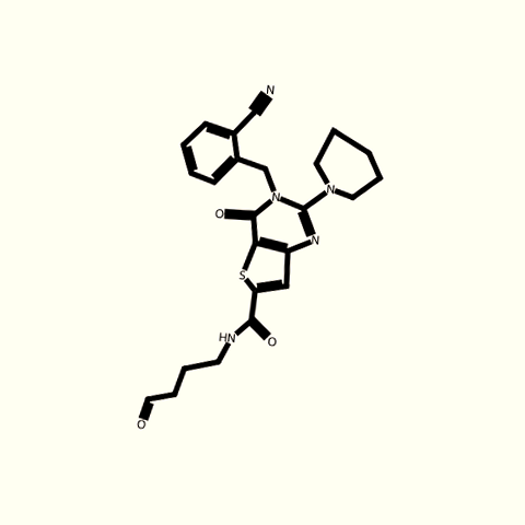 N#Cc1ccccc1Cn1c(N2CCCCC2)nc2cc(C(=O)NCCCC=O)sc2c1=O